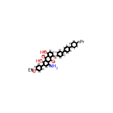 CCCC1CCC(c2ccc(-c3ccc(Sc4ccc(O)c5c4C(=O)c4c(N)cc(-c6ccc(OCC)cc6)c(O)c4C5=O)cc3)cc2)CC1